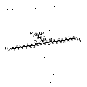 CCCCCCCCCCCCCC(=O)OCCN(CCOC(=O)CCCCCCCCCCCCC)C(=O)SCCN(C)C